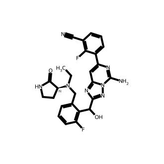 CCN(Cc1cccc(F)c1C(O)c1nc2cc(-c3cccc(C#N)c3F)nc(N)n2n1)[C@H]1CCNC1=O